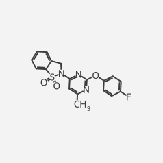 Cc1cc(N2Cc3ccccc3S2(=O)=O)nc(Oc2ccc(F)cc2)n1